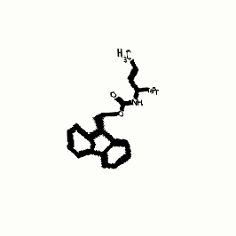 CC=CC(CCC)NC(=O)OCC1c2ccccc2-c2ccccc21